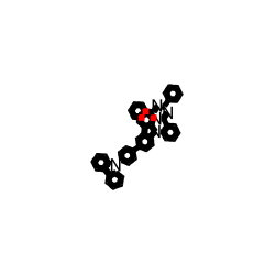 c1ccc(-c2nc(-c3ccccc3)nc(-c3ccccc3-n3c4ccccc4c4cc(-c5ccc(-n6c7ccccc7c7ccccc76)cc5)ccc43)n2)cc1